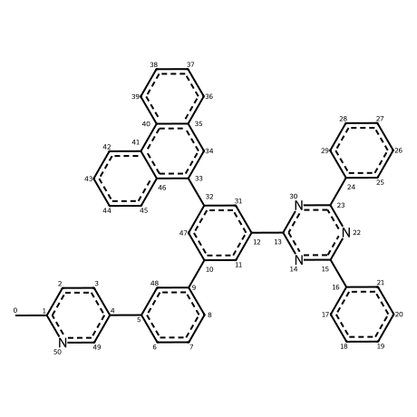 Cc1ccc(-c2cccc(-c3cc(-c4nc(-c5ccccc5)nc(-c5ccccc5)n4)cc(-c4cc5ccccc5c5ccccc45)c3)c2)cn1